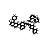 C1=Cc2c(oc3ccc4ccc(-c5ccc(-c6nc(-c7ccc(-c8ccccc8)cc7)nc(-c7cccc8oc9ccccc9c78)n6)c6ccccc56)cc4c23)CC1